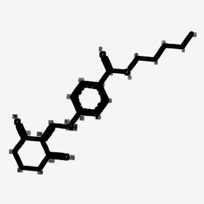 CCCCCOC(=O)c1ccc(NC=C2C(=O)CCCC2=O)cc1